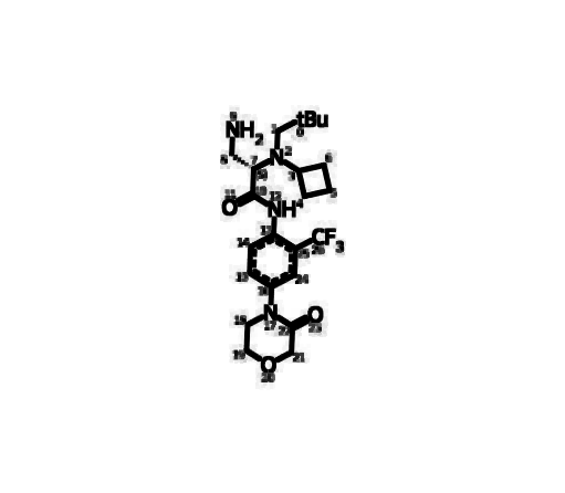 CC(C)(C)CN(C1CCC1)[C@@H](CN)C(=O)Nc1ccc(N2CCOCC2=O)cc1C(F)(F)F